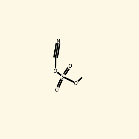 COS(=O)(=O)OC#N